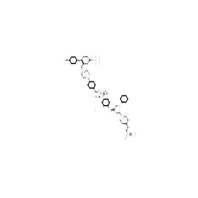 Cc1cc(S(=O)(=O)NC(=O)c2ccc(N3CCN(CC4=C(c5ccc(Cl)cc5)CCC(C)(C)C4)CC3)cc2)ccc1N[C@H](CCN1CCC(CCN(C)C)CC1)CSc1ccccc1